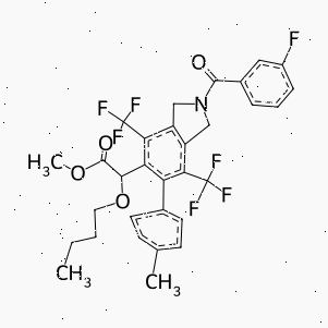 CCCCOC(C(=O)OC)c1c(-c2ccc(C)cc2)c(C(F)(F)F)c2c(c1C(F)(F)F)CN(C(=O)c1cccc(F)c1)C2